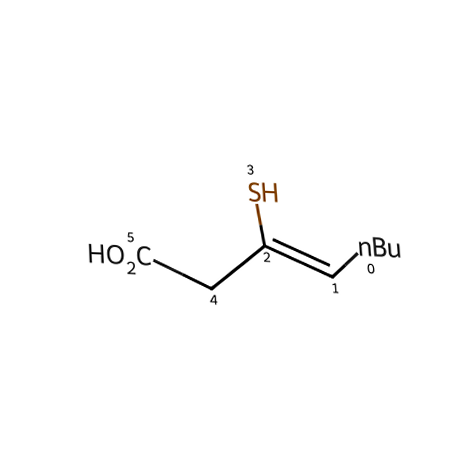 CCCCC=C(S)CC(=O)O